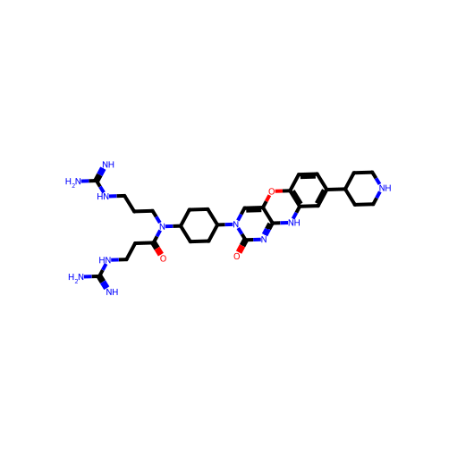 N=C(N)NCCCN(C(=O)CCNC(=N)N)C1CCC(n2cc3c(nc2=O)Nc2cc(C4CCNCC4)ccc2O3)CC1